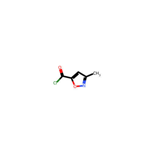 Cc1cc(C(=O)Cl)on1